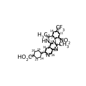 Cc1nc(N[C@H](C)c2cc([N+](=O)[O-])cc(C(F)(F)F)c2)c2cc(C3CCC(C(=O)O)CC3)ncc2n1